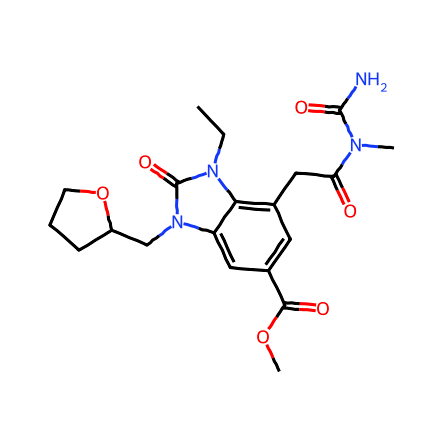 CCn1c(=O)n(CC2CCCO2)c2cc(C(=O)OC)cc(CC(=O)N(C)C(N)=O)c21